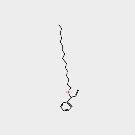 C=CC(OCCCCCCCCCCCCCCCC)c1ccccc1